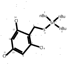 CCC[CH2][Sn]([CH2]CCC)([CH2]CCC)[S]Cc1c(Cl)cc(Cl)cc1Cl